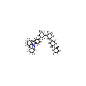 c1ccc(-c2ccc(-c3cccc(-c4cccc(-c5ccc6c(c5)c5cccc7c8ccccc8n6c75)c4)c3)cc2)cc1